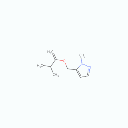 C=C(OCc1ccnn1C)C(C)C